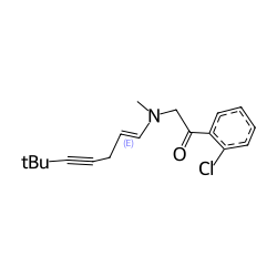 CN(/C=C/CC#CC(C)(C)C)CC(=O)c1ccccc1Cl